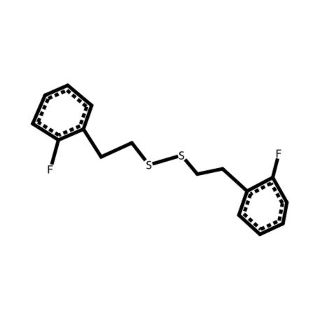 Fc1ccccc1CCSSCCc1ccccc1F